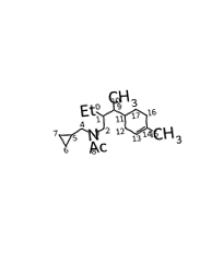 CCC(CN(CC1CC1)C(C)=O)C(C)C1CC=C(C)CC1